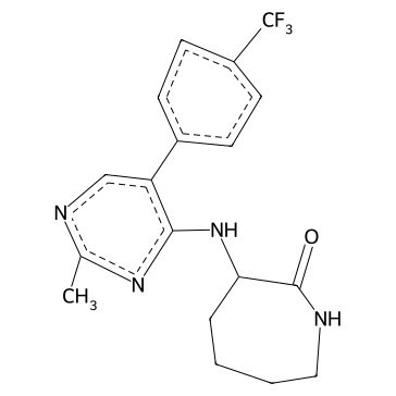 Cc1ncc(-c2ccc(C(F)(F)F)cc2)c(NC2CCCCNC2=O)n1